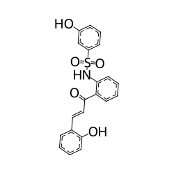 O=C(C=Cc1ccccc1O)c1ccccc1NS(=O)(=O)c1cccc(O)c1